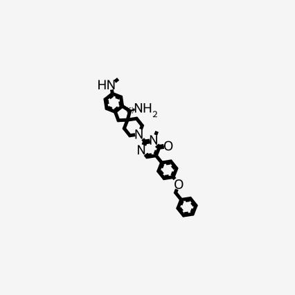 CNc1ccc2c(c1)[C@@H](N)C1(CCN(c3ncc(-c4ccc(OCc5ccccc5)cc4)c(=O)n3C)CC1)C2